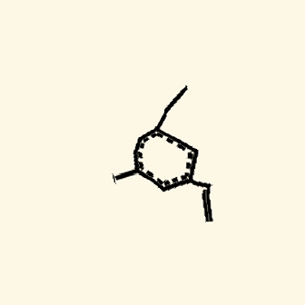 C=[C]c1cc(I)cc(CC)c1